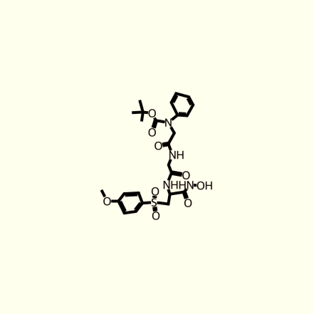 COc1ccc(S(=O)(=O)CC(NC(=O)CNC(=O)CN(C(=O)OC(C)(C)C)c2ccccc2)C(=O)NO)cc1